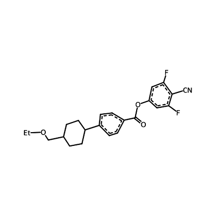 CCOCC1CCC(c2ccc(C(=O)Oc3cc(F)c(C#N)c(F)c3)cc2)CC1